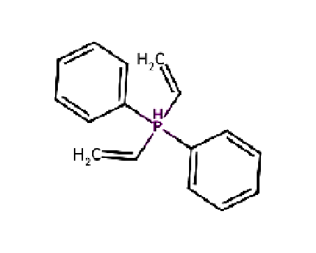 C=C[PH](C=C)(c1ccccc1)c1ccccc1